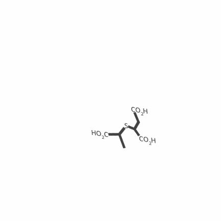 CC(SC(CC(=O)O)C(=O)O)C(=O)O